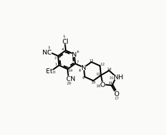 CCc1c(C#N)c(Cl)nc(N2CCC3(CC2)CNC(=O)O3)c1C#N